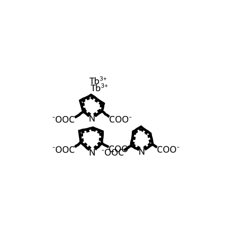 O=C([O-])c1cccc(C(=O)[O-])n1.O=C([O-])c1cccc(C(=O)[O-])n1.O=C([O-])c1cccc(C(=O)[O-])n1.[Tb+3].[Tb+3]